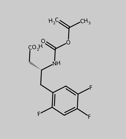 C=C(C)OC(=O)N[C@@H](CC(=O)O)Cc1cc(F)c(F)cc1F